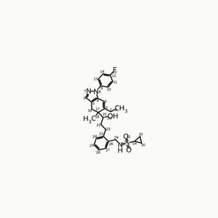 CCC1=Cc2c(cnn2-c2ccc(F)cc2)CC1(C)[C@@H](O)CCc1ccccc1CNS(=O)(=O)C1CC1